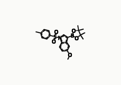 COc1ccc2c(c1)c(B1OC(C)(C)C(C)(C)O1)cn2S(=O)(=O)c1ccc(C)cc1